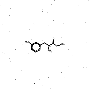 CC(C)(C)OC(=O)[C@@H](N)Cc1cccc(O)c1